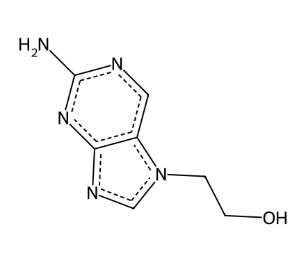 Nc1ncc2c(ncn2CCO)n1